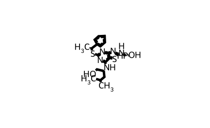 CC(C)CC(CO)Nc1nc(S[C@@H](C)c2ccccc2)nc2nc(NPO)sc12